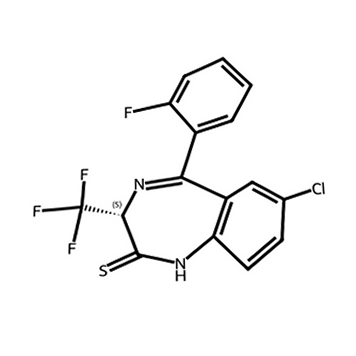 Fc1ccccc1C1=N[C@@H](C(F)(F)F)C(=S)Nc2ccc(Cl)cc21